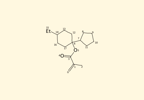 C=C(C)C(=O)OC1(C2CCCC2)CCC(CC)CC1